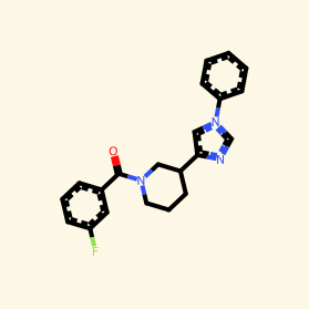 O=C(c1cccc(F)c1)N1CCCC(c2cn(-c3ccccc3)cn2)C1